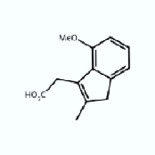 COc1cccc2c1C(CC(=O)O)=C(C)C2